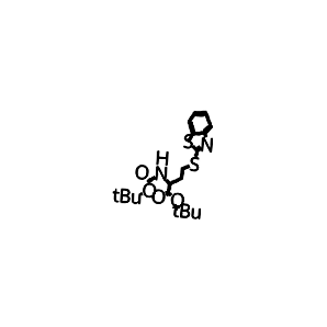 CC(C)(C)OC(=O)NC(CCSc1nc2ccccc2s1)C(=O)OC(C)(C)C